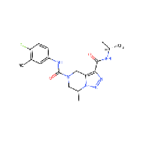 CC1CN(C(=O)Nc2ccc(F)c(C#N)c2)Cc2c(C(=O)N[C@H](C)C(F)(F)F)nnn21